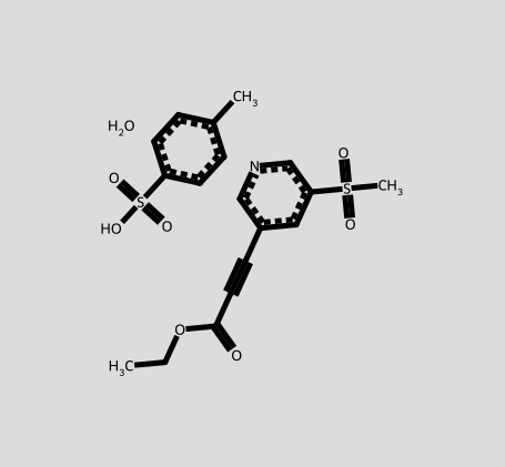 CCOC(=O)C#Cc1cncc(S(C)(=O)=O)c1.Cc1ccc(S(=O)(=O)O)cc1.O